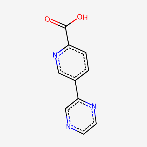 O=C(O)c1ccc(-c2cnccn2)cn1